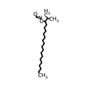 CCCCCCCCCCCCCCCCCC(O[N]C=O)C(C)C